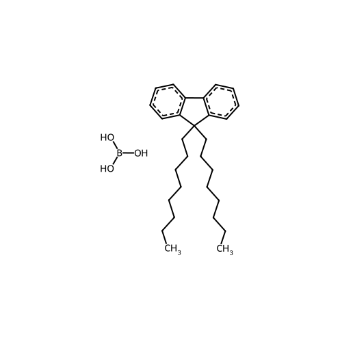 CCCCCCCCC1(CCCCCCCC)c2ccccc2-c2ccccc21.OB(O)O